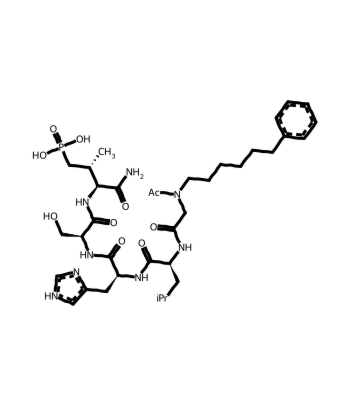 CC(=O)N(CCCCCCc1ccccc1)CC(=O)N[C@@H](CC(C)C)C(=O)N[C@@H](Cc1c[nH]cn1)C(=O)N[C@@H](CO)C(=O)N[C@H](C(N)=O)[C@@H](C)CP(=O)(O)O